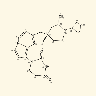 C[C@H]1C[C@@](F)(Cc2ccn3ncc(N4CCC(=O)NC4=O)c3c2)CCN1C1COC1